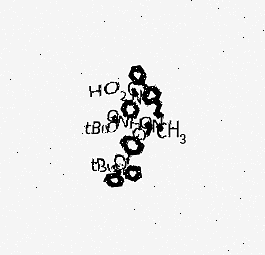 CN(CCCc1ccc(-c2ccccc2)c(N(C(=O)O)C2CCC(NC(=O)OC(C)(C)C)CC2)c1)C(=O)CO[C@H]1CC[C@H](CO[Si](c2ccccc2)(c2ccccc2)C(C)(C)C)CC1